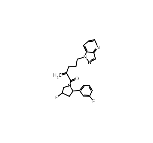 C=C(CCCn1ncc2ncccc21)C(=O)N1CC(F)CC1c1cccc(F)c1